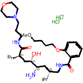 COCCCCOc1ccccc1C(=O)NC[C@@H](C[C@H](N)[C@@H](O)C[C@H](C(=O)NCCCN1CCOCC1)C(C)C)C(C)C.Cl.Cl